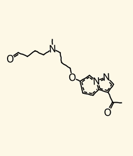 CC(=O)c1cnn2cc(OCCCN(C)CCCC=O)ccc12